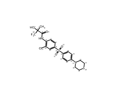 CC(O)(C(=O)Nc1ccc(S(=O)(=O)c2ccc(N3CCSCC3)cc2)cc1Cl)C(F)(F)F